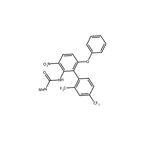 CNC(=O)Nc1c([N+](=O)[O-])ccc(Oc2ccccc2)c1-c1ccc(C(F)(F)F)cc1C(F)(F)F